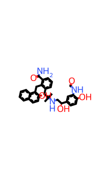 CC(C)(Cc1cccc(C(N)=O)c1Cc1c(O)ccc2ccccc12)NC[C@H](O)c1ccc(O)c(NC=O)c1